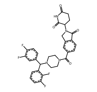 O=C1CCC(N2Cc3cc(C(=O)N4CCN(C(c5ccc(F)c(F)c5)c5cccc(F)c5F)CC4)ccc3C2=O)C(=O)N1